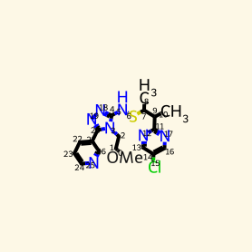 COCCn1c(NSC(C)C(C)c2ncc(Cl)cn2)nnc1-c1cccnc1